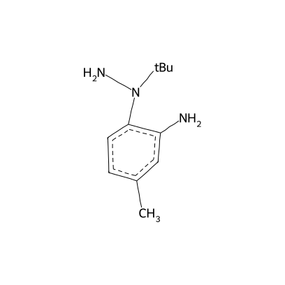 Cc1ccc(N(N)C(C)(C)C)c(N)c1